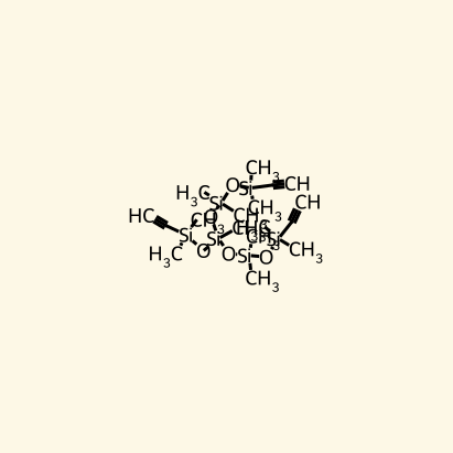 C#C[Si](C)(C)O[Si](C)(C)O[Si](C)(O[Si](C)(C)C#C)O[Si](C)(C)O[Si](C)(C)C#C